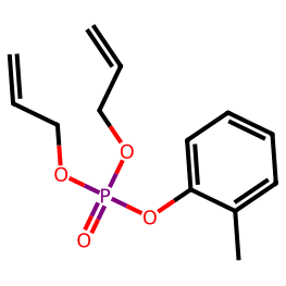 C=CCOP(=O)(OCC=C)Oc1ccccc1C